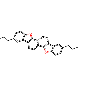 CCCc1ccc2oc3c(ccc4c3ccc3c5cc(CCC)ccc5oc34)c2c1